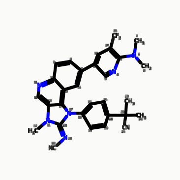 CN(C)c1ncc(-c2ccc3ncc4c(c3c2)n(-c2ccc(C(C)(C)C#N)cc2)c(=NC#N)n4C)cc1C(F)(F)F